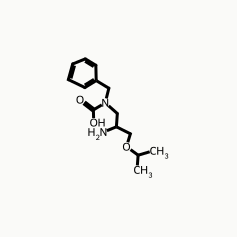 CC(C)OCC(N)CN(Cc1ccccc1)C(=O)O